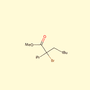 COC(=O)C(Br)(CC(C)(C)C)C(C)C